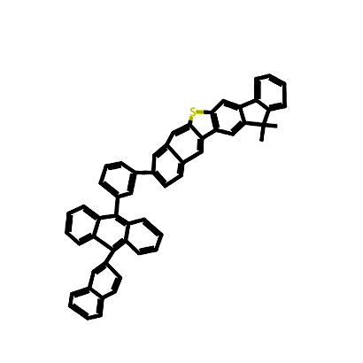 CC1(C)c2ccccc2-c2cc3sc4cc5cc(-c6cccc(-c7c8ccccc8c(-c8ccc9ccccc9c8)c8ccccc78)c6)ccc5cc4c3cc21